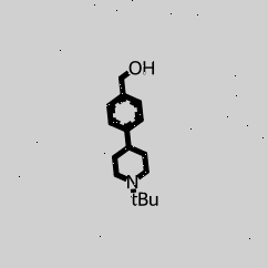 CC(C)(C)N1CCC(c2ccc(CO)cc2)CC1